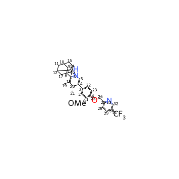 COc1cc(C2=CNC(C34CC5CC(CC(C5)C3)C4)=C(C)[C@H]2C)ccc1OCc1ccc(C(F)(F)F)cn1